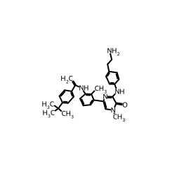 C=C(Nc1cccc(-c2cn(C)c(=O)c(Nc3ccc(CCN)cc3)n2)c1C)c1ccc(C(C)(C)C)cc1